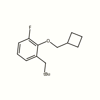 CC(C)(C)Cc1cccc(F)c1OCC1CCC1